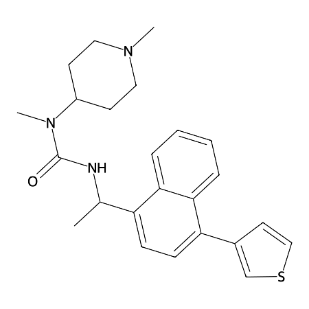 CC(NC(=O)N(C)C1CCN(C)CC1)c1ccc(-c2ccsc2)c2ccccc12